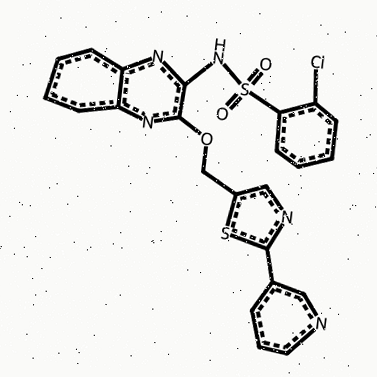 O=S(=O)(Nc1nc2ccccc2nc1OCc1cnc(-c2cccnc2)s1)c1ccccc1Cl